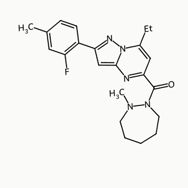 CCc1cc(C(=O)N2CCCCCN2C)nc2cc(-c3ccc(C)cc3F)nn12